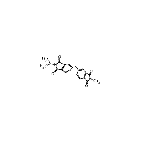 CC(C)N1C(=O)c2ccc(Cc3ccc4c(c3)C(=O)N(C)C4=O)cc2C1=O